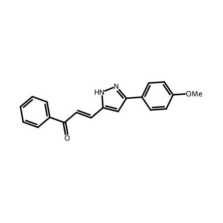 COc1ccc(-c2cc(C=CC(=O)c3ccccc3)[nH]n2)cc1